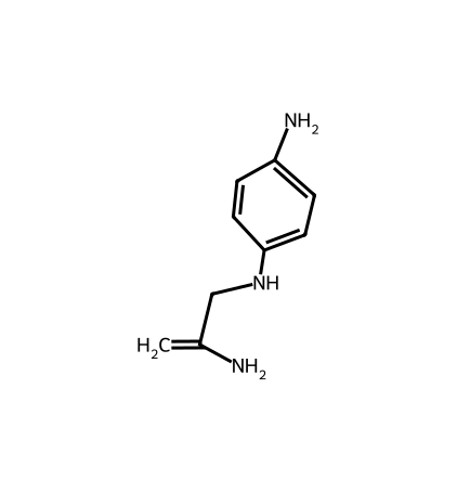 C=C(N)CNc1ccc(N)cc1